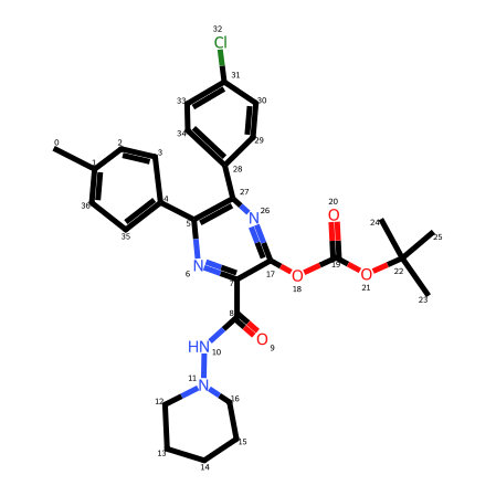 Cc1ccc(-c2nc(C(=O)NN3CCCCC3)c(OC(=O)OC(C)(C)C)nc2-c2ccc(Cl)cc2)cc1